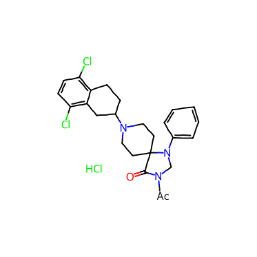 CC(=O)N1CN(c2ccccc2)C2(CCN(C3CCc4c(Cl)ccc(Cl)c4C3)CC2)C1=O.Cl